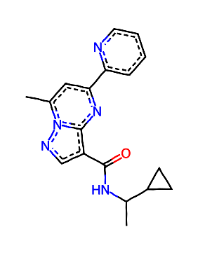 Cc1cc(-c2ccccn2)nc2c(C(=O)NC(C)C3CC3)cnn12